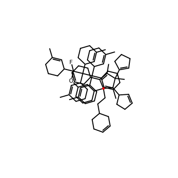 CC1=CC(C(F)(OC2CCCC(C3(CCC4CC=CCC4)[C](C4C=CCC4)C(C)(C4=CCCC4)C(C)=C3C3CC=CCC3)C2)C(C2C=C(C)CCC2)(C2C=C(C)CCC2)C(C2C=C(C)CCC2)(C2C=C(C)CCC2)C2C=C(C)CCC2)CCC1